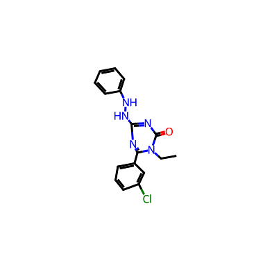 CCn1c(-c2cccc(Cl)c2)nc(NNc2ccccc2)nc1=O